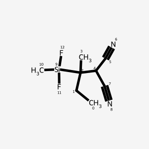 CCC(C)(C(C#N)C#N)[Si](C)(F)F